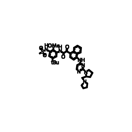 COc1c(NC(=O)C(=O)c2ccc(Nc3ccnc(N4CCCC4CN4CCCC4)n3)c3ccccc23)cc(C(C)(C)C)cc1NS(C)(=O)=O